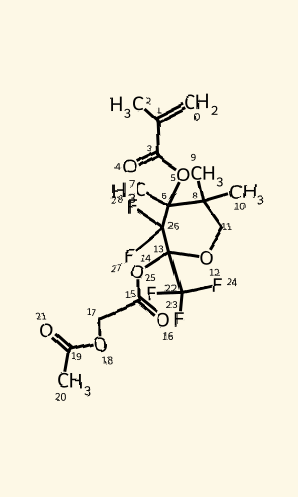 C=C(C)C(=O)OC1(C)C(C)(C)COC(OC(=O)COC(C)=O)(C(F)(F)F)C1(F)F